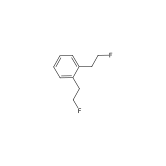 FCCc1ccccc1CCF